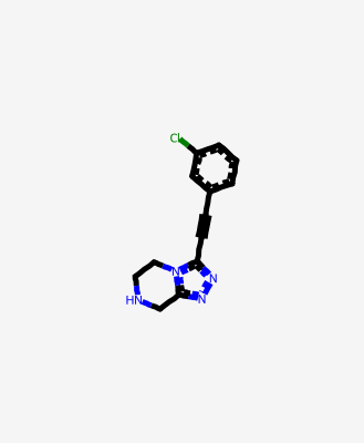 Clc1cccc(C#Cc2nnc3n2CCNC3)c1